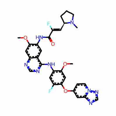 COc1cc2ncnc(Nc3cc(F)c(Oc4ccn5ncnc5c4)cc3OC)c2cc1NC(=O)/C(F)=C/[C@H]1CCCN1C